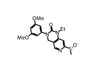 CCN1C(=O)N(c2cc(OC)cc(OC)c2)Cc2cnc([S+](C)[O-])cc21